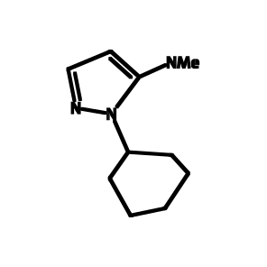 CNc1ccnn1C1CCCCC1